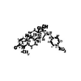 CN1C(=O)C=C[C@@]2(C)C1CC[C@@H]1[C@H]2CC[C@]2(C)C(O)C(=Cc3ccc([N+](=O)[O-])cc3)C[C@@H]12